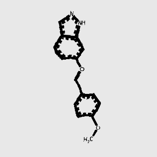 COc1ccc(COc2ccc3cn[nH]c3c2)cc1